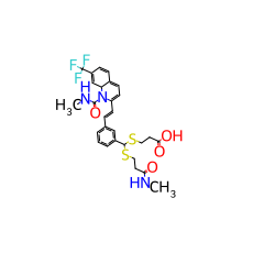 CNC(=O)CCSC(SCCC(=O)O)c1cccc(C=CC2=CC=C3C=CC(C(F)(F)F)=CC3N2C(=O)NC)c1